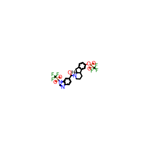 O=C(c1ccc2ncn(S(=O)(=O)C(F)(F)F)c2c1)N1CCCC2c3cc(OS(=O)(=O)C(F)(F)F)ccc3C[C@@H]21